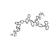 C=CC(=O)Oc1ccc2oc3ccc(-c4ccc5c(c4)c4ccccc4n5-c4cccc(-c5cc(OC(=O)C=C)cc6c5oc5ccc(-n7c8ccccc8c8ccccc87)cc56)c4)cc3c2c1